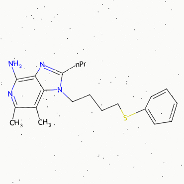 CCCc1nc2c(N)nc(C)c(C)c2n1CCCCSc1ccccc1